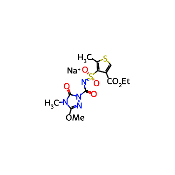 CCOC(=O)c1csc(C)c1S(=O)(=O)[N-]C(=O)n1nc(OC)n(C)c1=O.[Na+]